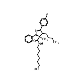 CCCCC1C(c2ccc(F)cc2)=NN(c2ccccc2)C1(C)C(=O)NCCCCCCO